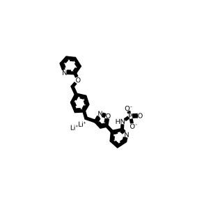 O=P([O-])([O-])Nc1ncccc1-c1cc(Cc2ccc(COc3ccccn3)cc2)no1.[Li+].[Li+]